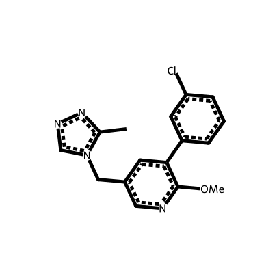 COc1ncc(Cn2cnnc2C)cc1-c1cccc(Cl)c1